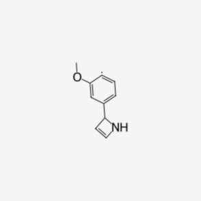 COc1[c]ccc(C2C=CN2)c1